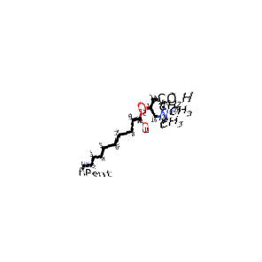 CCCCC/C=C/CCCCCCCC(=O)OC(CC(=O)O)C[N+](C)(C)C